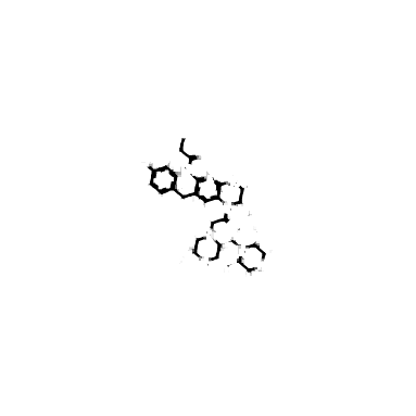 CCC(=O)Nc1nc2c(cc1Cc1ccc(F)cc1)N(C(=O)CN1C[C@@H](C)NC[C@@H]1CN1[C@H](C)COC[C@H]1C)[C@@H](C)CO2